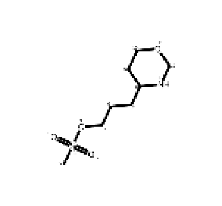 CS(=O)(=O)OCCCC1CCOCN1